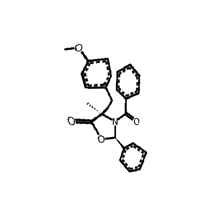 COc1ccc(C[C@]2(C)C(=O)O[C@H](c3ccccc3)N2C(=O)c2ccccc2)cc1